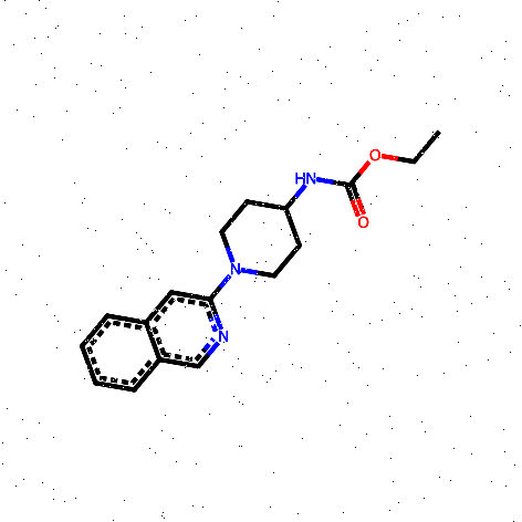 CCOC(=O)NC1CCN(c2cc3ccccc3cn2)CC1